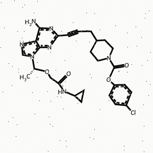 C[C@@H](OCC(=O)NC1CC1)n1cnc2c(N)nc(C#CCC3CCN(C(=O)Oc4ccc(Cl)cc4)CC3)nc21